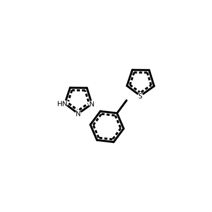 Cc1ccccc1.c1c[nH]nn1.c1ccsc1